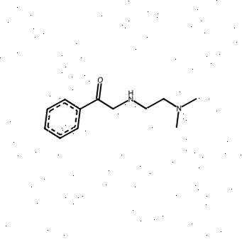 CN(C)CCNCC(=O)c1ccccc1